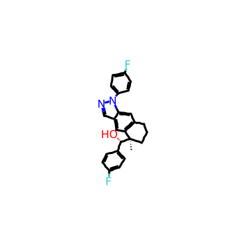 C[C@@]1([C@@H](O)c2ccc(F)cc2)CCCc2cc3c(cnn3-c3ccc(F)cc3)cc21